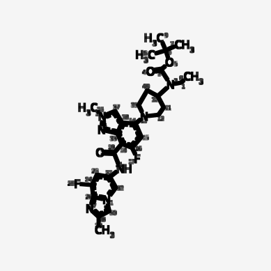 CCN(C(=O)OC(C)(C)C)C1CCN(c2cc(F)c(C(=O)Nc3cc(F)c4nc(C)cn4c3)c3nn(C)cc23)CC1